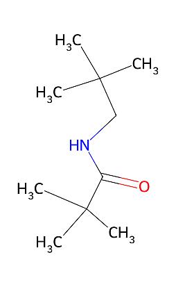 CC(C)(C)CNC(=O)C(C)(C)C